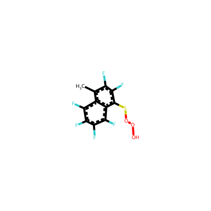 Cc1c(F)c(F)c(SOOO)c2c(F)c(F)c(F)c(F)c12